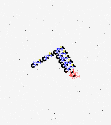 Cc1csc(NC(C)N2CCCCC2)n1.Cc1csc(NC(C)N2CCCCC2)n1.Cc1csc(NC(C)N2CCCCC2)n1.Cc1csc(NC(C)N2CCCCC2)n1.Cc1csc(NC(C)N2CCCCC2)n1.Cc1csc(NC(C)N2CCCCC2)n1.Cc1csc(NC(C)N2CCCCC2)n1.O=C(O)C(=O)O.O=C(O)C(=O)O